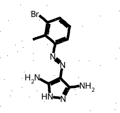 Cc1c(Br)cccc1N=Nc1c(N)n[nH]c1N